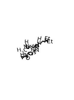 CCN(CC)CCCNc1cc2c(Nc3cc(C)n[nH]3)nc(Sc3ccc(NC(=O)C4CC4)cc3)nn2c1